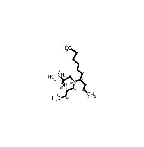 CCCCCCC(CCC)N(CCCC)CC(C)O.Cl